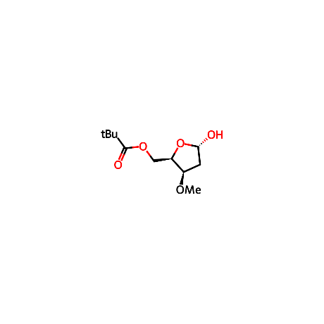 CO[C@@H]1C[C@@H](O)O[C@@H]1COC(=O)C(C)(C)C